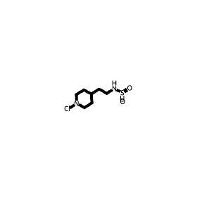 O=[SH](=O)NCCC1CCN(Cl)CC1